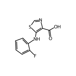 O=C(O)c1ncsc1Nc1ccccc1F